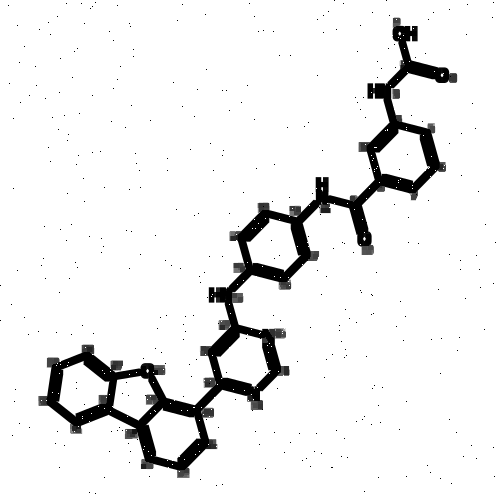 O=C(O)Nc1cccc(C(=O)Nc2ccc(Nc3cc(-c4cccc5c4oc4ccccc45)ncn3)cc2)c1